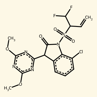 C=CC(C(F)F)S(=O)(=O)N1C(=O)C(c2nc(OC)nc(OC)n2)c2cccc(Cl)c21